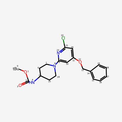 CC(C)(C)OC(=O)NC1CCN(c2cc(OCc3ccccc3)cc(Cl)n2)CC1